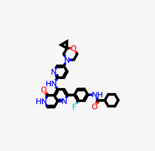 O=C(Nc1ccc(-c2cc(Nc3ccc(N4CCOC5(CC5)C4)cn3)c3c(=O)[nH]ccc3n2)c(F)c1)C1CCCCC1